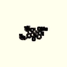 COc1cnc2c(c1)[C@@H](N1CCc3c(cc(Cn4ccnc4)cc3-c3cn(C)nc3C(F)(F)F)C1=O)CCC2